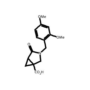 COc1ccc(CN2CC3(C(=O)O)CC3C2=O)c(OC)c1